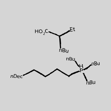 CCCCC(CC)C(=O)O.CCCCCCCCCCCCCC[PH](CCCC)(CCCC)CCCC